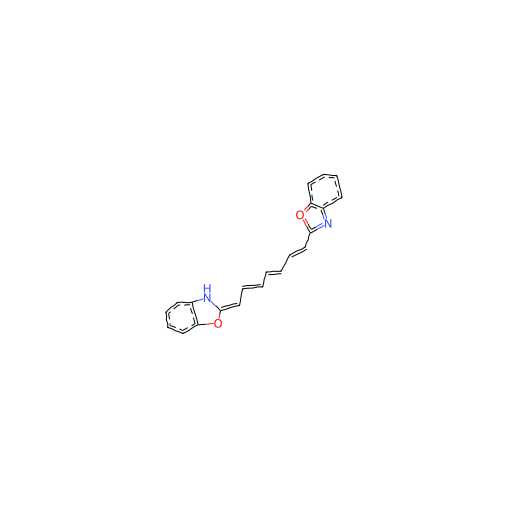 C(=CC=Cc1nc2ccccc2o1)C=CC=C1Nc2ccccc2O1